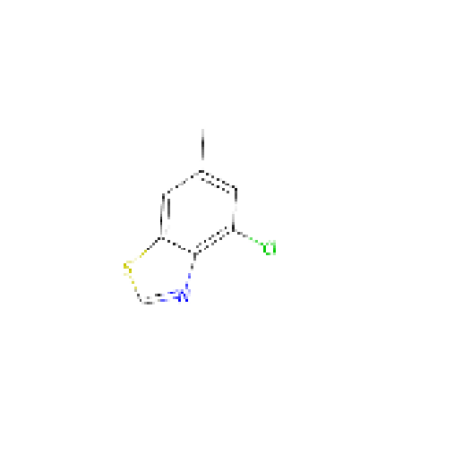 Cc1cc(Cl)c2ncsc2c1